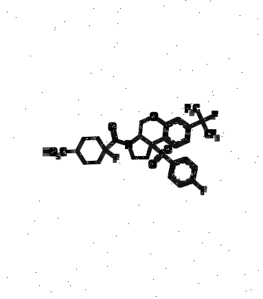 O=C(O)C1CCC(F)(C(=O)N2CCC3(S(=O)(=O)c4ccc(F)cc4)c4ccc(C(F)(C(F)(F)F)C(F)(F)F)cc4OCC23)CC1